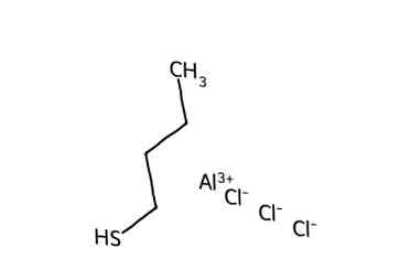 CCCCS.[Al+3].[Cl-].[Cl-].[Cl-]